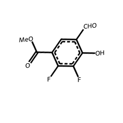 COC(=O)c1cc(C=O)c(O)c(F)c1F